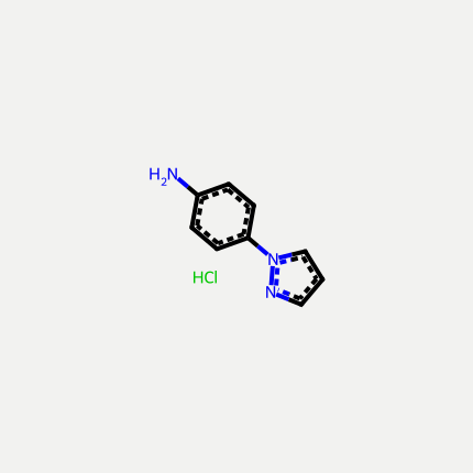 Cl.Nc1ccc(-n2cccn2)cc1